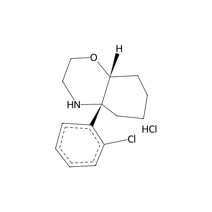 Cl.Clc1ccccc1[C@]12CCCC[C@H]1OCCN2